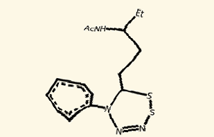 CCC(CCC1SSN=NN1c1ccccc1)NC(C)=O